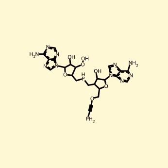 Nc1ncnc2c1ncn2C1OC(COC#CP)C(CPCC2OC(n3cnc4c(N)ncnc43)C(O)C2OO)C1O